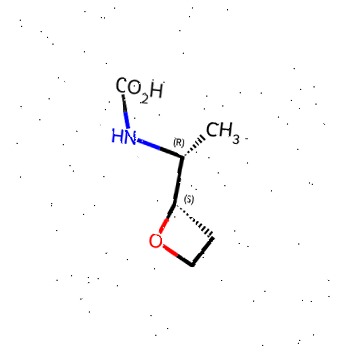 C[C@@H](NC(=O)O)[C@@H]1CCO1